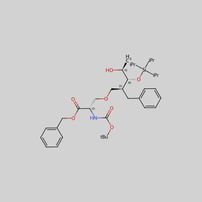 CC(C)[Si](O[C@H]([C@H](COC[C@H](NC(=O)OC(C)(C)C)C(=O)OCc1ccccc1)Cc1ccccc1)[C@H](C)O)(C(C)C)C(C)C